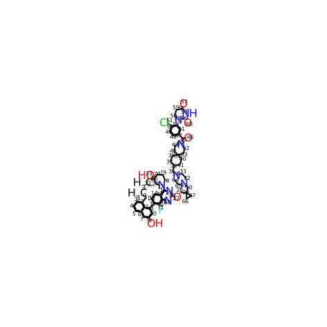 CCc1cccc2cc(O)cc(-c3ccc4c(N5CCC[C@@](C)(O)C5)nc(OCC5(CN6CCN(CC7CCC8(CC7)CCN(C(=O)c7ccc(Cl)c(N9CCC(=O)NC9=O)c7)CC8)CC6)CC5)nc4c3F)c12